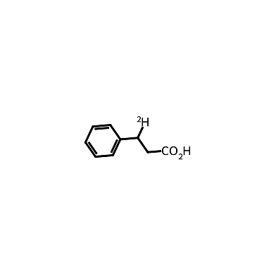 [2H]C(CC(=O)O)c1ccccc1